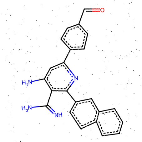 N=C(N)c1c(N)cc(-c2ccc(C=O)cc2)nc1-c1ccc2ccccc2c1